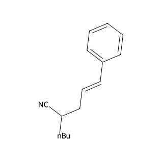 CCCCC(C#N)C/C=C/c1ccccc1